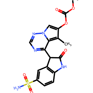 COC(=O)Oc1cn2ncnc(C3C(=O)Nc4ccc(S(N)(=O)=O)cc43)c2c1C